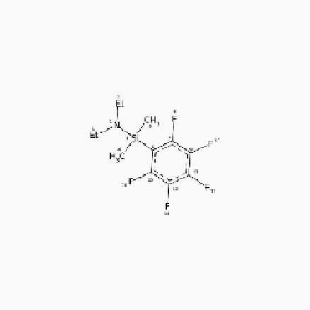 CCN(CC)[Si](C)(C)c1c(F)c(F)c(F)c(F)c1F